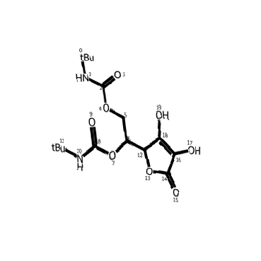 CC(C)(C)NC(=O)OCC(OC(=O)NC(C)(C)C)C1OC(=O)C(O)=C1O